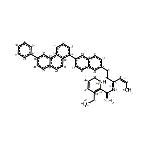 C=C(/N=C(/C=C\C)CCc1ccc2cc(-c3cccc4c3ccc3ccc(-c5ccccc5)cc34)ccc2c1)C1=C(CC)C=CCN1